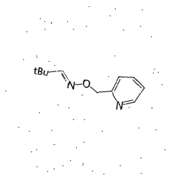 CC(C)(C)/C=N/OCc1ccccn1